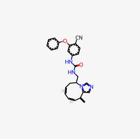 C=C1/C=C\C=C/CC(CNC(=O)Nc2ccc(C#N)c(Oc3ccccc3)c2)n2cncc21